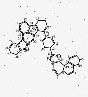 C1=CC2=C(C=CC3C=Cc4nc(C5C=CC(C6=CCCC7=C6c6cc8oc9c(c8c8cccc7c68)C=CCC9)=CC5)oc4C23)CC1